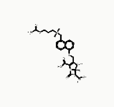 C[C@@H](O)[C@H]1C(=O)N2C(C(=O)O)=C(COc3cccc4c(C[N+](C)(C)CCCSC(=N)N)cccc34)[C@H](C)[C@H]12